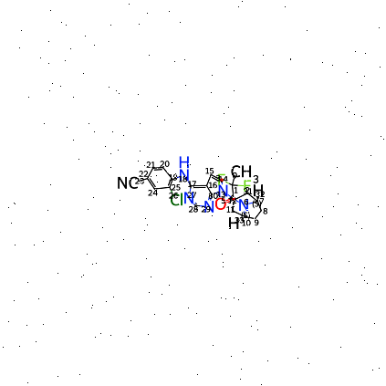 CC(F)(F)C(=O)N1[C@H]2CC[C@H]1CC(n1ccc3c(Nc4ccc(C#N)cc4Cl)ncnc31)C2